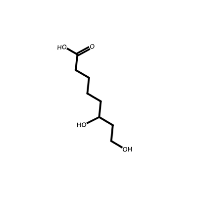 O=C(O)CCCCC(O)CCO